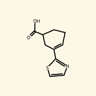 O=C(O)C1CCC=C(c2nccs2)C1